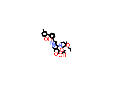 C=CCOC1(C)CCN(c2c(C(OC(C)(C)C)C(=O)O)c(C)cn3nc(-c4cccc(-c5cc(C)ccc5O)c4)cc23)CC1